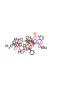 CO[C@H]1C(=O)[C@]2(C)[C@@H](OC(=O)N(C)C)C[C@H]3OC[C@@]3(OC(C)=O)[C@H]2[C@H](OC(=O)c2ccccc2)[C@]2(O)C[C@H](OC(=O)[C@H](O)[C@@H](NC(=O)OC(C)(C)C)c3ccccn3)C(C)=C1C2(C)C